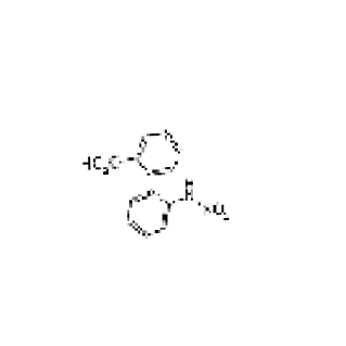 O=C(O)c1ccccc1.O=[N+]([O-])Nc1ccccc1